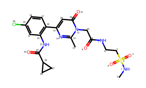 CNS(=O)(=O)CCNC(=O)Cn1c(C)nc(-c2ccc(Cl)cc2NC(=O)C2CC2)cc1=O